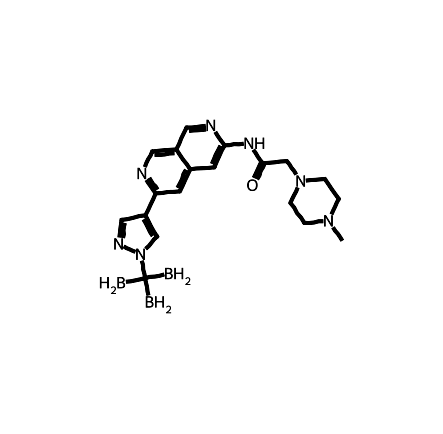 BC(B)(B)n1cc(-c2cc3cc(NC(=O)CN4CCN(C)CC4)ncc3cn2)cn1